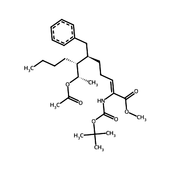 CCCC[C@H]([C@H](CC/C=C(\NC(=O)OC(C)(C)C)C(=O)OC)Cc1ccccc1)[C@H](C)OC(C)=O